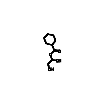 O=C(OC(O)CO)C1CCCCC1